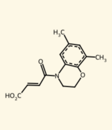 Cc1cc(C)c2c(c1)N(C(=O)C=CC(=O)O)CCO2